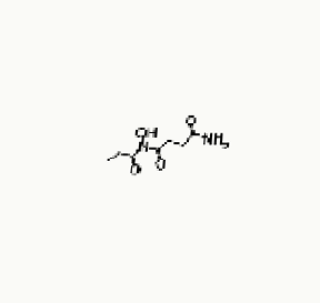 CCC(=O)N(O)C(=O)CCC(N)=O